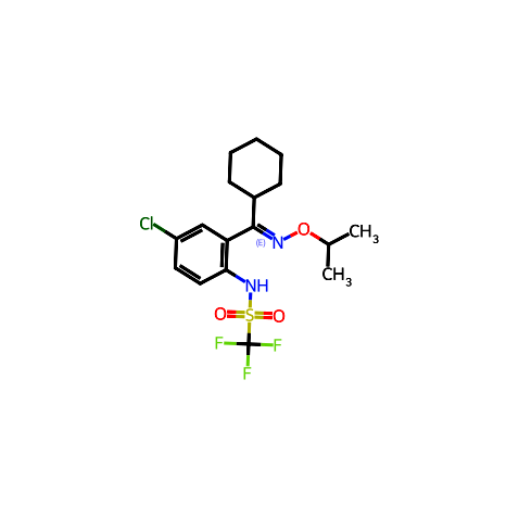 CC(C)O/N=C(/c1cc(Cl)ccc1NS(=O)(=O)C(F)(F)F)C1CCCCC1